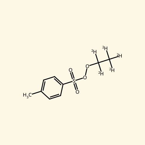 [2H]C([2H])([2H])C([2H])([2H])OOS(=O)(=O)c1ccc(C)cc1